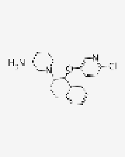 N[C@@H]1CCCN([C@H]2CCc3ccccc3[C@@H]2Oc2ccc(Cl)nc2)C1